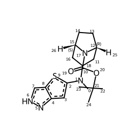 CN(c1cc2n[nH]cc2s1)C1C[C@H]2CC[C@@H](C1)N2C(=O)OC(C)(C)C